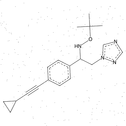 CC(C)(C)ONC(Cn1cncn1)c1ccc(C#CC2CC2)cc1